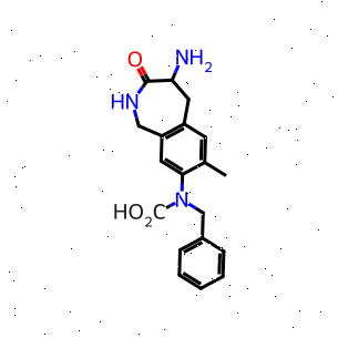 Cc1cc2c(cc1N(Cc1ccccc1)C(=O)O)CNC(=O)C(N)C2